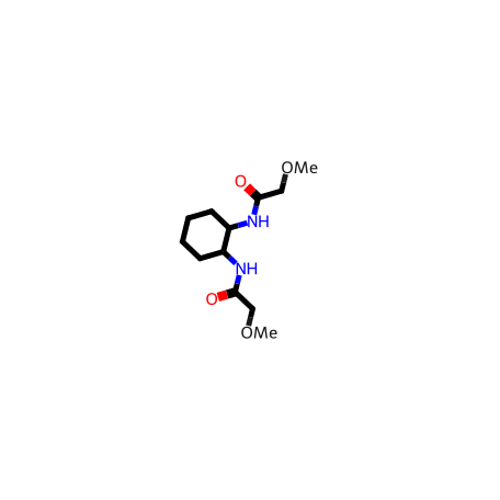 COCC(=O)NC1CCCCC1NC(=O)COC